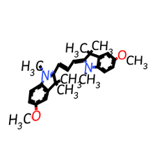 COc1ccc2c(c1)C(C)(C)C(=CC=CC1=[N+](C)c3ccc(OC)cc3C1(C)C)N2C